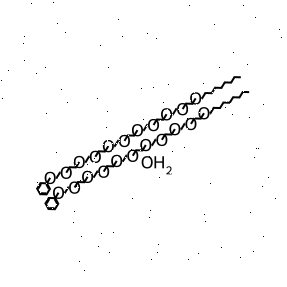 CCCCCCCCCOCCOCCOCCOCCOCCOCCOCCOCCOCCOCCOc1ccccc1.CCCCCCCCCOCCOCCOCCOCCOCCOCCOCCOCCOCCOCCOc1ccccc1.O